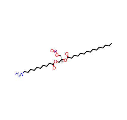 CCCCCCCCCCCCCCC(=O)O[C@@H](COP=O)COC(=O)CCCCCCCCCN